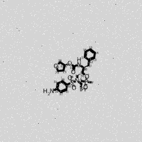 CC(C)CN(C[C@@H](OP(C)(C)=O)[C@H](Cc1ccccc1)NC(=O)O[C@H]1CCOC1)S(=O)(=O)c1ccc(N)cc1